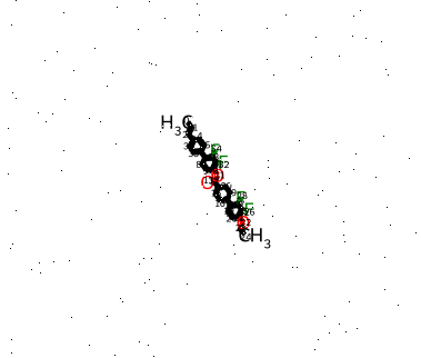 C/C=C/c1ccc(-c2ccc(OC(=O)C3CCC(c4ccc(OCC)c(F)c4F)CC3)c(F)c2F)cc1